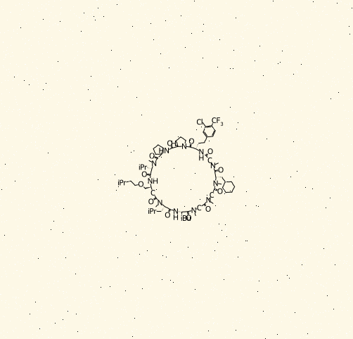 CC[C@H](C)[C@@H]1NC(=O)[C@H](CC(C)C)N(C)C(=O)C[C@@H](COCCC(C)C)NC(=O)[C@H](C(C)C)N(C)C(=O)C2(CCCC2)NC(=O)[C@@H]2CCCN2C(=O)[C@H](CCc2ccc(C(F)(F)F)c(Cl)c2)NC(=O)CN(C)C(=O)[C@H](CC2CCCCC2)N(C)C(=O)CN(C)C(=O)CN(C)C1=O